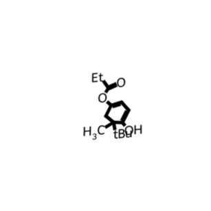 CCC(=O)OC1=CC=C(O)C(C)(C(C)(C)C)C1